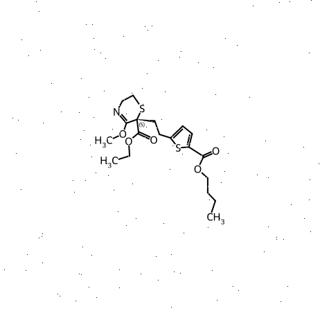 CCCCOC(=O)c1ccc(CC[C@]2(C(=O)OCC)SCCN=C2OC)s1